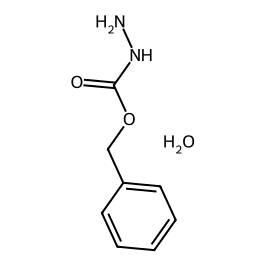 NNC(=O)OCc1ccccc1.O